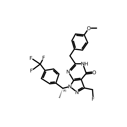 COc1ccc(Cc2nc3c(c(CF)nn3[C@H](C)c3ccc(C(F)(F)F)cc3)c(=O)[nH]2)cc1